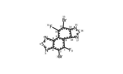 Fc1c(Br)c2nsnc2c2c(F)c(Br)c3nsnc3c12